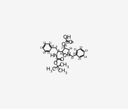 CC(C)(C)OC(=O)N[C@@H](Cc1ccccc1)C1ON(Cc2ccccc2)CC1OC(=O)O